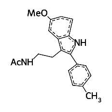 COc1ccc2[nH]c(-c3ccc(C)cc3)c(CCNC(C)=O)c2c1